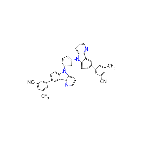 N#Cc1cc(-c2ccc3c(c2)c2ncccc2n3-c2cccc(-n3c4ccc(-c5cc(C#N)cc(C(F)(F)F)c5)cc4c4ncccc43)c2)cc(C(F)(F)F)c1